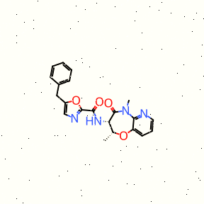 C[C@H]1Oc2cccnc2N(C)C(=O)[C@H]1NC(=O)c1ncc(Cc2ccccc2)o1